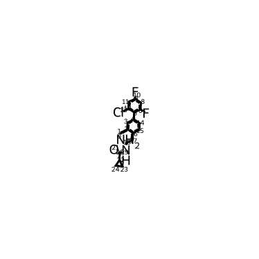 N/C=c1/cc(-c2c(F)cc(F)cc2Cl)cc/c1=C/CNC(=O)C1CC1